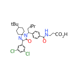 CC(C)CC(c1ccc(C(=O)NCCC(=O)O)cc1)N1C(=O)C(c2cc(Cl)cc(Cl)c2)=NC12CCC(C(C)(C)C)CC2